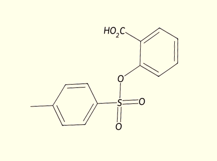 Cc1ccc(S(=O)(=O)Oc2ccccc2C(=O)O)cc1